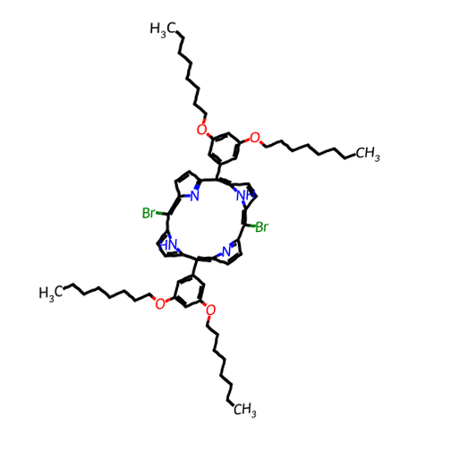 CCCCCCCCOc1cc(OCCCCCCCC)cc(-c2c3nc(c(Br)c4ccc([nH]4)c(-c4cc(OCCCCCCCC)cc(OCCCCCCCC)c4)c4nc(c(Br)c5ccc2[nH]5)C=C4)C=C3)c1